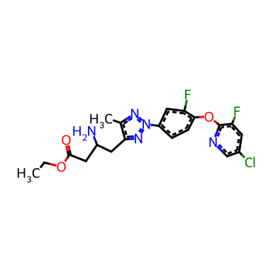 CCOC(=O)CC(N)Cc1nn(-c2ccc(Oc3ncc(Cl)cc3F)c(F)c2)nc1C